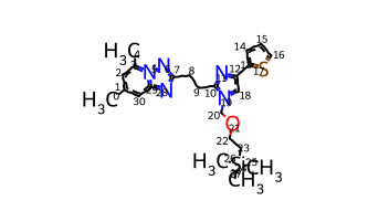 Cc1cc(C)n2nc(CCc3nc(-c4cccs4)cn3COCC[Si](C)(C)C)nc2c1